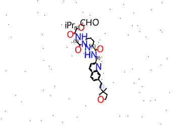 CC(C)[C@H](OC=O)C(=O)N[C@@H](C)C(=O)N1CCC[C@@H](C(=O)N[C@H](C)c2ccc3ccc(/C=C/C4(C)CCOC4)cc3n2)N1